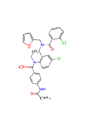 CCN(C(=O)c1ccc(NC(C)=O)cc1)c1ccc(Cl)cc1CN(Cc1ccco1)C(=O)c1ccccc1Cl